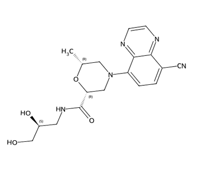 C[C@@H]1CN(c2ccc(C#N)c3nccnc23)C[C@H](C(=O)NC[C@H](O)CO)O1